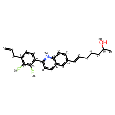 C=CCc1ccc(-c2ccc3cc(/C=C/CCCC(C)O)ccc3n2)c(F)c1F